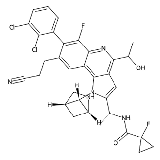 CC(O)c1nc2c(F)c(-c3cccc(Cl)c3Cl)c(CCC#N)cc2c2c1cc([C@@H](C)NC(=O)C1(F)CC1)n2[C@H]1[C@H]2CN[C@@H]1C2